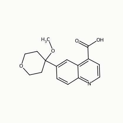 COC1(c2ccc3nccc(C(=O)O)c3c2)CCOCC1